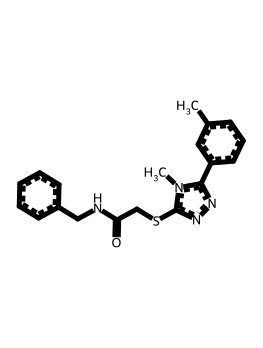 Cc1cccc(-c2nnc(SCC(=O)NCc3ccccc3)n2C)c1